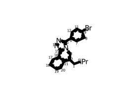 CC(C)Cc1cn2c(-c3ccc(Br)cc3)nnc2c2ccccc12